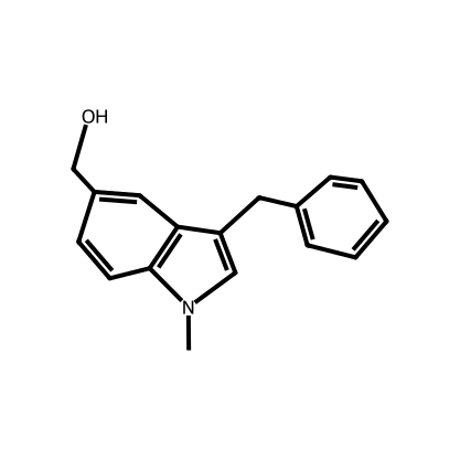 Cn1cc(Cc2ccccc2)c2cc(CO)ccc21